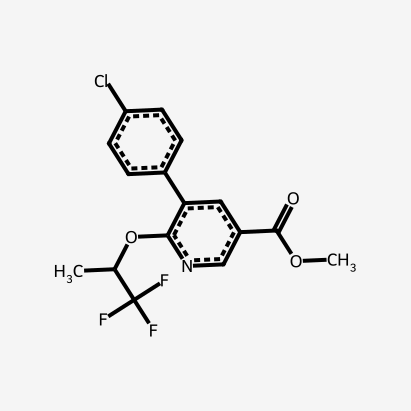 COC(=O)c1cnc(OC(C)C(F)(F)F)c(-c2ccc(Cl)cc2)c1